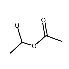 CC(=O)O[CH](C)[U]